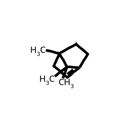 CC12[CH]CC(=CC1)C2(C)C